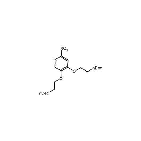 CCCCCCCCCCCCOc1ccc([N+](=O)[O-])cc1OCCCCCCCCCCCC